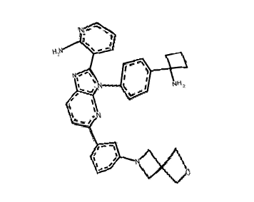 Nc1ncccc1-c1nc2ccc(-c3cccc(N4CC5(COC5)C4)c3)nc2n1-c1ccc(C2(N)CCC2)cc1